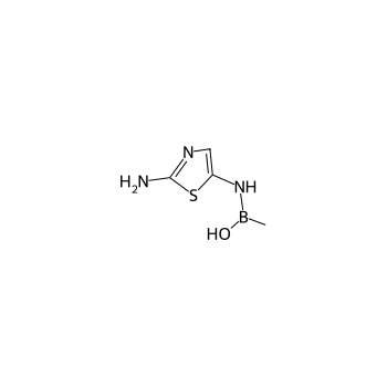 CB(O)Nc1cnc(N)s1